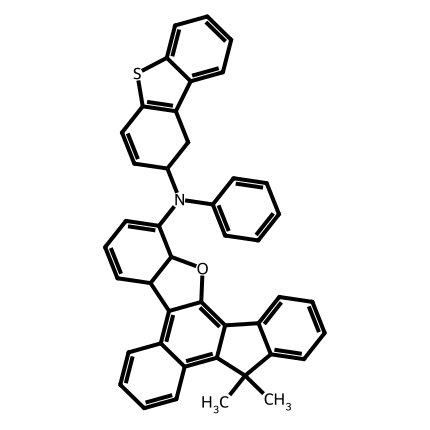 CC1(C)c2ccccc2-c2c3c(c4ccccc4c21)C1C=CC=C(N(c2ccccc2)C2C=Cc4sc5ccccc5c4C2)C1O3